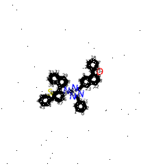 c1ccc(-c2nc(-c3ccc4c(ccc5oc6ccccc6c54)c3)nc(-n3c4ccc5ccccc5c4c4c5sc6ccccc6c5ccc43)n2)cc1